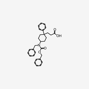 O=C(O)CCC1(c2ccccc2)CCC(N(Cc2ccccc2)C(=O)OCc2ccccc2)CC1